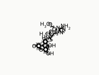 COCCOc1nc2c(N)ncnc2n1CCCN(C(=S)Nc1ccc(-c2c3ccc(=O)cc-3oc3cc(O)ccc23)c(C(=O)O)c1)C(C)C